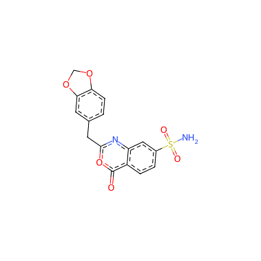 NS(=O)(=O)c1ccc2c(=O)oc(Cc3ccc4c(c3)OCO4)nc2c1